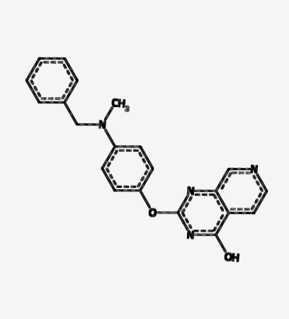 CN(Cc1ccccc1)c1ccc(Oc2nc(O)c3ccncc3n2)cc1